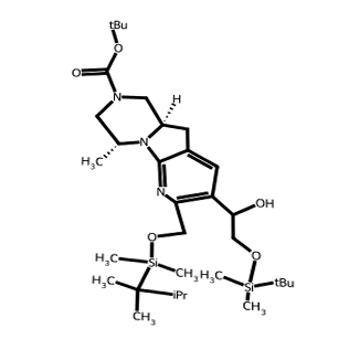 CC(C)C(C)(C)[Si](C)(C)OCc1nc2c(cc1C(O)CO[Si](C)(C)C(C)(C)C)C[C@@H]1CN(C(=O)OC(C)(C)C)C[C@@H](C)N21